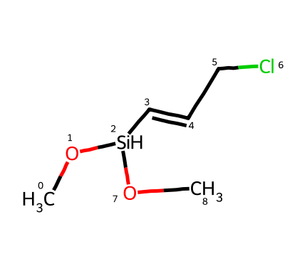 CO[SiH](C=CCCl)OC